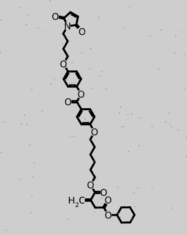 C=C(CC(=O)OC1CCCCC1)C(=O)OCCCCCCOc1ccc(C(=O)Oc2ccc(OCCCCN3C(=O)C=CC3=O)cc2)cc1